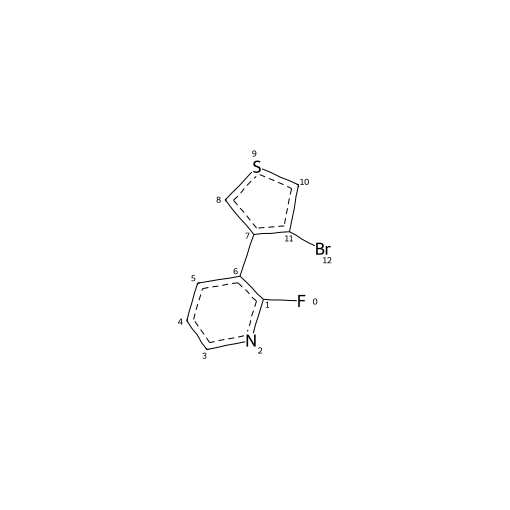 Fc1ncccc1-c1cscc1Br